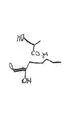 CC(O)C(=O)O.CCCCCC(=O)O